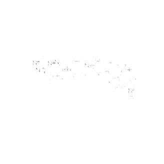 CNS(=O)(=O)c1cc(CC(=O)N2CCN(c3ccc4nncn4n3)CC2)ccc1F